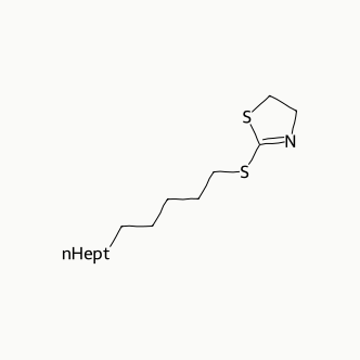 CCCCCCCCCCCCSC1=NCCS1